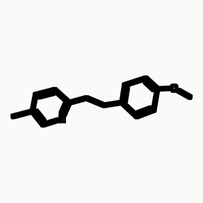 COc1ccc(CCc2ccc(C)cn2)cc1